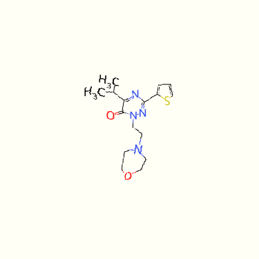 CC(C)c1nc(-c2cccs2)nn(CCN2CCOCC2)c1=O